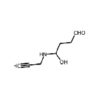 C#CCNC(O)CCC=O